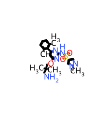 Cc1cccc(C)c1-c1cc(OCC(C)(C)CN)nc(NS(=O)(=O)c2cnn(C)c2)n1